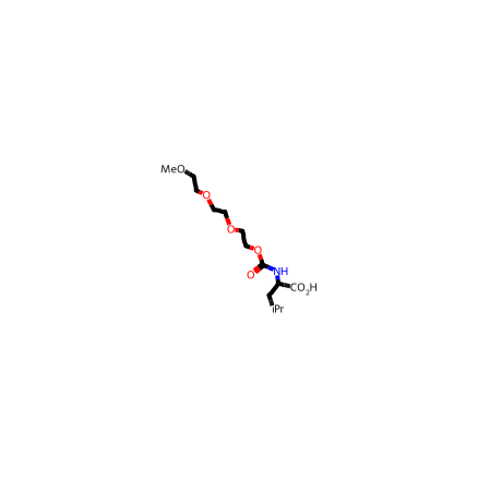 COCCOCCOCCOC(=O)NC(CC(C)C)C(=O)O